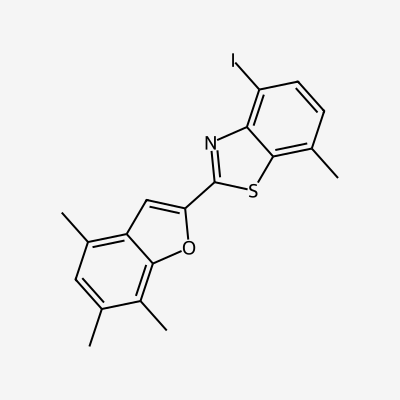 Cc1cc(C)c2cc(-c3nc4c(I)ccc(C)c4s3)oc2c1C